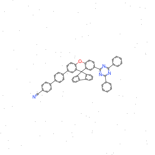 N#Cc1ccc(-c2ccc(-c3ccc4c(c3)C3(c5cc(-c6nc(-c7ccccc7)nc(-c7ccccc7)n6)ccc5O4)c4ccccc4-c4ccccc43)cc2)cc1